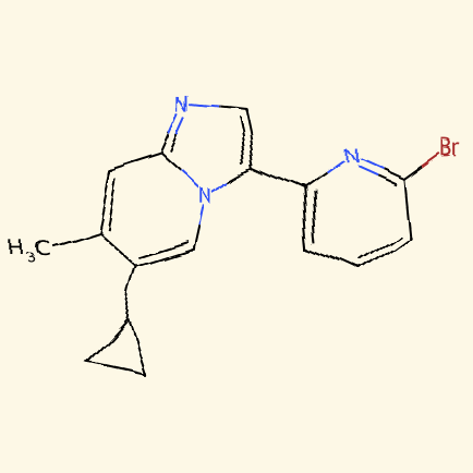 Cc1cc2ncc(-c3cccc(Br)n3)n2cc1C1CC1